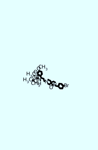 COc1ccc(C(CCN2CCC3(CC2)CCN(Cc2ccc(Br)cc2)C3=O)NC(=O)OC(C)(C)C)cc1OC